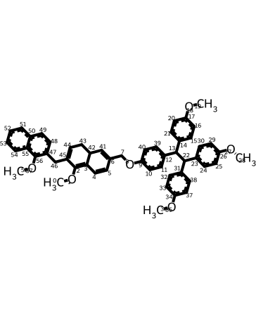 COC1=C2C=CC(COc3ccc(C(c4ccc(OC)cc4)C(c4ccc(OC)cc4)c4ccc(OC)cc4)cc3)=CC2CC=C1Cc1ccc2ccccc2c1OC